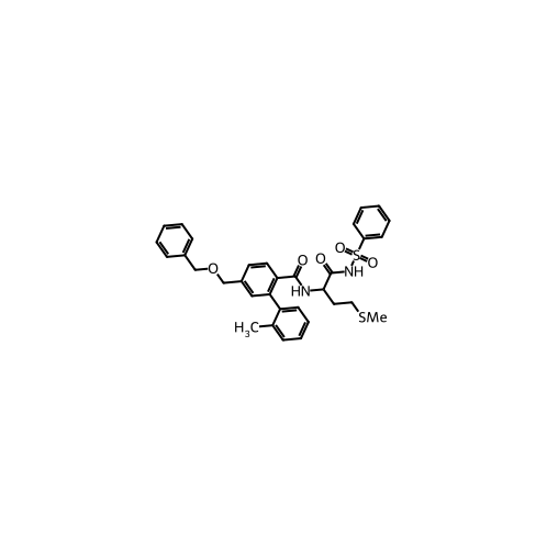 CSCCC(NC(=O)c1ccc(COCc2ccccc2)cc1-c1ccccc1C)C(=O)NS(=O)(=O)c1ccccc1